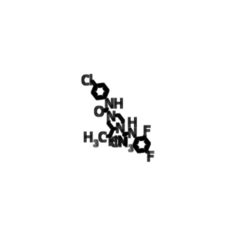 CC(C)C1CN(C(=O)Nc2ccc(Cl)cc2)CCN1C(=N)Nc1ccc(F)cc1F